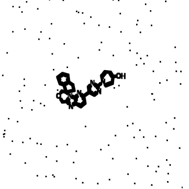 OC1=CC=CN(c2ncc(-c3ccc4nc5n(c4n3)C3(CCc4ccccc43)COC5)cn2)C=C1